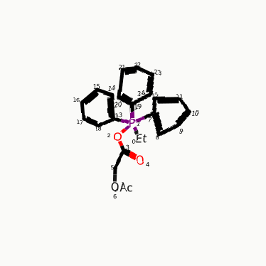 CCP(OC(=O)COC(C)=O)(c1ccccc1)(c1ccccc1)c1ccccc1